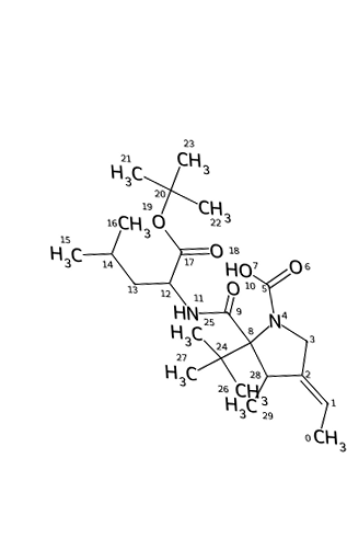 C/C=C1/CN(C(=O)O)C(C(=O)NC(CC(C)C)C(=O)OC(C)(C)C)(C(C)(C)C)C1C